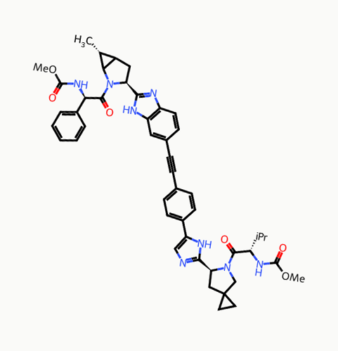 COC(=O)N[C@H](C(=O)N1CC2(CC2)C[C@H]1c1ncc(-c2ccc(C#Cc3ccc4nc([C@@H]5CC6C([C@@H]6C)N5C(=O)[C@H](NC(=O)OC)c5ccccc5)[nH]c4c3)cc2)[nH]1)C(C)C